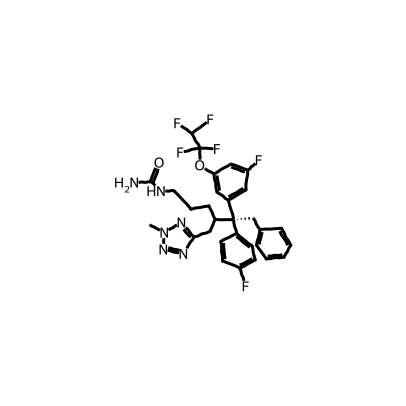 Cn1nnc(CC(CCCNC(N)=O)[C@](Cc2ccccc2)(c2ccc(F)cc2)c2cc(F)cc(OC(F)(F)C(F)F)c2)n1